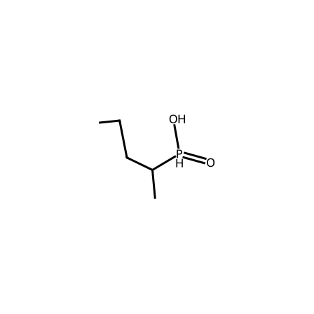 CCCC(C)[PH](=O)O